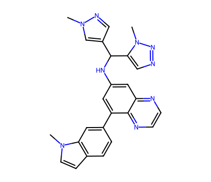 Cn1cc(C(Nc2cc(-c3ccc4ccn(C)c4c3)c3nccnc3c2)c2cnnn2C)cn1